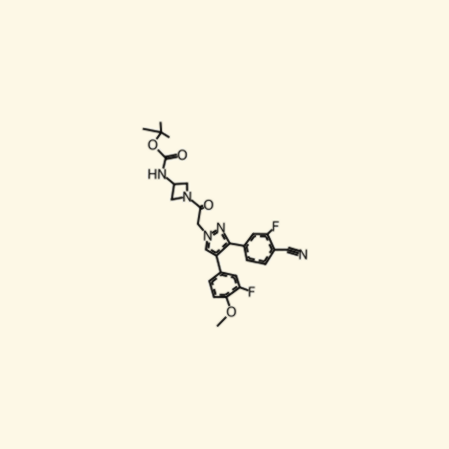 COc1ccc(-c2cn(CC(=O)N3CC(NC(=O)OC(C)(C)C)C3)nc2-c2ccc(C#N)c(F)c2)cc1F